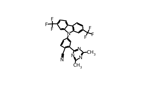 Cc1nc(C)nc(-c2cc(-n3c4cc(C(F)(F)F)ccc4c4ccc(C(F)(F)F)cc43)ccc2C#N)n1